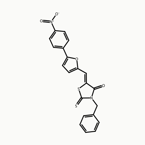 O=C1C(=Cc2ccc(-c3ccc([N+](=O)[O-])cc3)o2)SC(=S)N1Cc1ccccc1